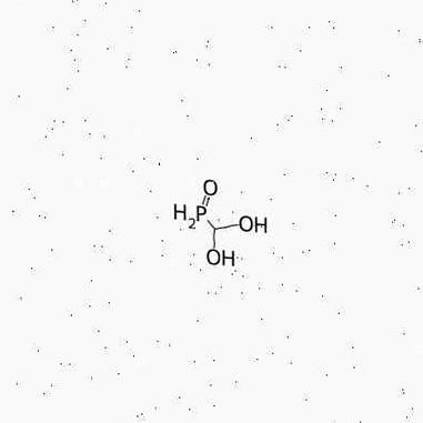 O=[PH2]C(O)O